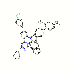 Fc1ccc(-c2ccc(-c3nc(-c4ccccc4)nc(-c4ccccc4)n3)c(-n3c4ccccc4c4cc(-c5ccc(C(F)(F)F)cc5C(F)(F)F)ccc43)c2)cc1